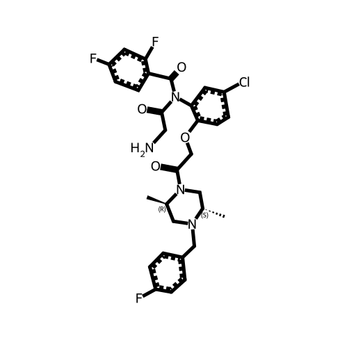 C[C@@H]1CN(Cc2ccc(F)cc2)[C@@H](C)CN1C(=O)COc1ccc(Cl)cc1N(C(=O)CN)C(=O)c1ccc(F)cc1F